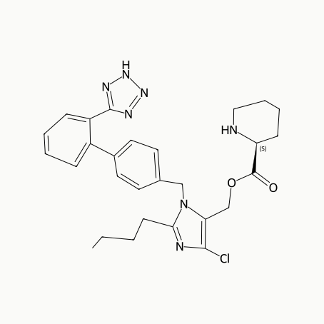 CCCCc1nc(Cl)c(COC(=O)[C@@H]2CCCCN2)n1Cc1ccc(-c2ccccc2-c2nn[nH]n2)cc1